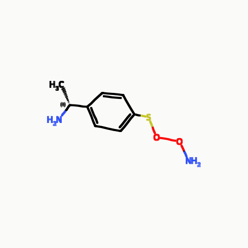 C[C@@H](N)c1ccc(SOON)cc1